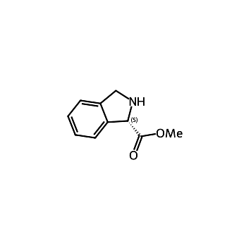 COC(=O)[C@H]1NCc2ccccc21